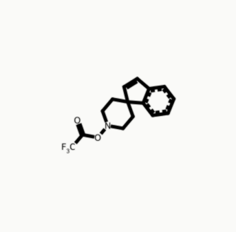 O=C(ON1CCC2(C=Cc3ccccc32)CC1)C(F)(F)F